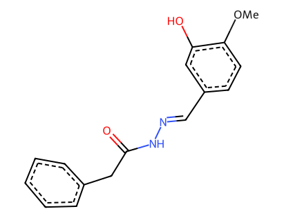 COc1ccc(/C=N/NC(=O)Cc2ccccc2)cc1O